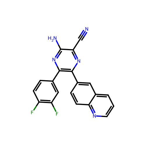 N#Cc1nc(-c2ccc3ncccc3c2)c(-c2ccc(F)c(F)c2)nc1N